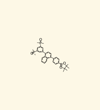 CC1(C)OB(c2ccc(-c3ccc(-c4cc(P(C)(C)=O)cc(P(C)(C)=O)c4)c4ccccc34)cc2)OC1(C)C